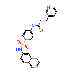 O=C(NCc1cccnc1)Nc1ccc(S(=O)(=O)Nc2ccc3ccccc3c2)cc1